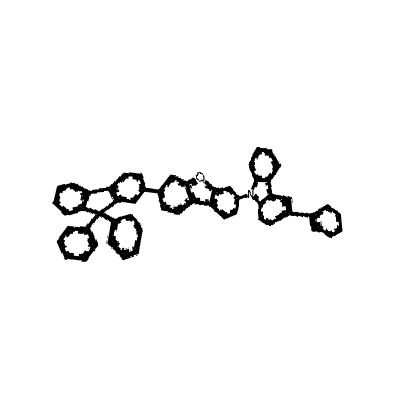 c1ccc(-c2ccc3c(c2)c2ccccc2n3-c2ccc3c(c2)oc2cc(-c4ccc5c(c4)C(c4ccccc4)(c4ccccc4)c4ccccc4-5)ccc23)cc1